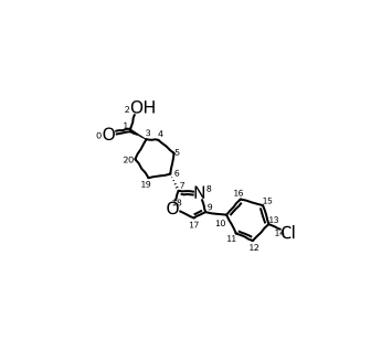 O=C(O)[C@H]1CC[C@H](c2nc(-c3ccc(Cl)cc3)co2)CC1